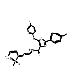 CC\C=C/C(=C\C=C\NC(=O)c1nc(-c2ccc(F)cc2)oc1Sc1ccc(Cl)cn1)S(C)(=O)=O